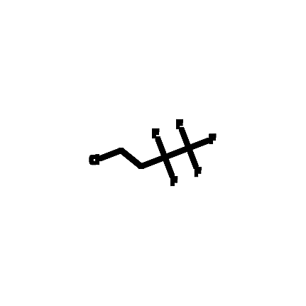 FC(F)(F)C(F)(F)CCCl